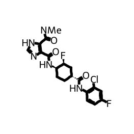 CNC(=O)c1[nH]cnc1C(=O)N[C@@H]1CC[C@@H](C(=O)Nc2ccc(F)cc2Cl)C[C@@H]1F